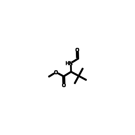 COC(=O)C(NC=O)C(C)(C)C